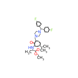 CCOC(=O)C(C)Nc1cc(C(C)C)ccc(CN2CCN(C(c3ccc(F)cc3)c3ccc(F)cc3)CC2)c1=O